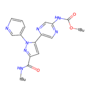 CC(C)(C)NC(=O)c1cc(-c2cnc(NC(=O)OC(C)(C)C)cn2)n(-c2cccnc2)n1